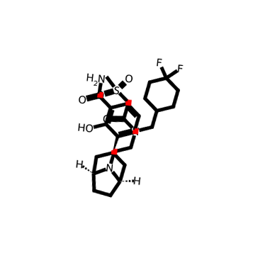 CS(=O)(=O)CC(=O)N(CCN1[C@@H]2CC[C@H]1C[C@@H](c1cccc(C(N)=O)c1O)C2)CC1CCC(F)(F)CC1